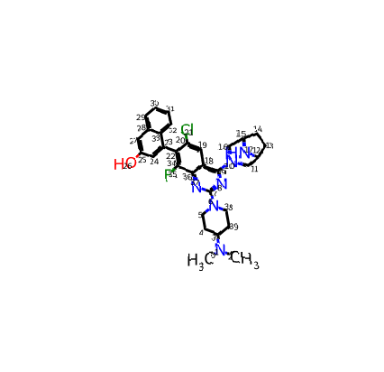 CN(C)C1CCN(c2nc(N3CC4CCC(C3)N4)c3cc(Cl)c(-c4cc(O)cc5ccccc45)c(F)c3n2)CC1